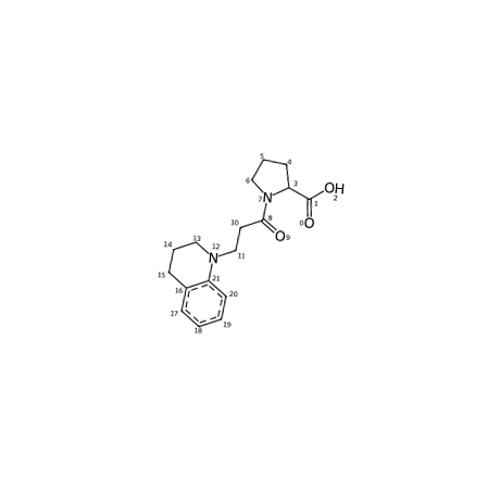 O=C(O)C1CCCN1C(=O)CCN1CCCc2ccccc21